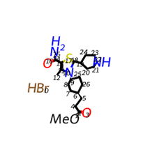 Br.COC(=O)CC[C@H]1CC[C@H](N2C(C)=C(C(N)=O)SC2C2CCNCC2)CC1